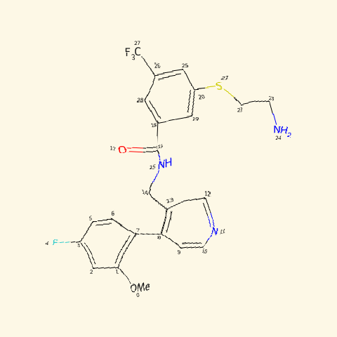 COc1cc(F)ccc1-c1ccncc1CNC(=O)c1cc(SCCN)cc(C(F)(F)F)c1